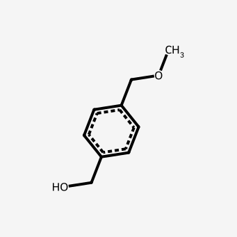 COCc1ccc(CO)cc1